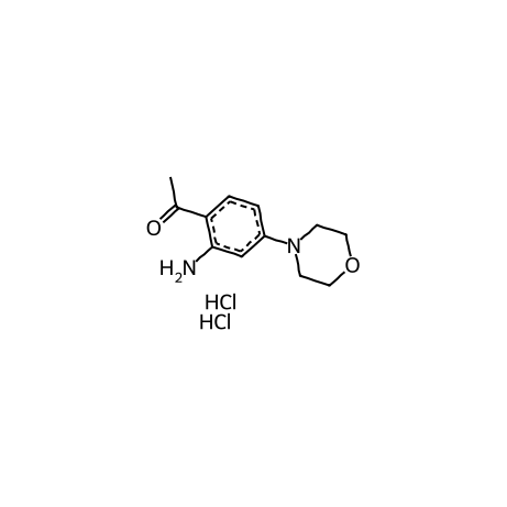 CC(=O)c1ccc(N2CCOCC2)cc1N.Cl.Cl